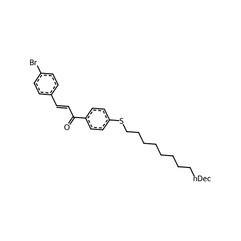 CCCCCCCCCCCCCCCCCCSc1ccc(C(=O)C=Cc2ccc(Br)cc2)cc1